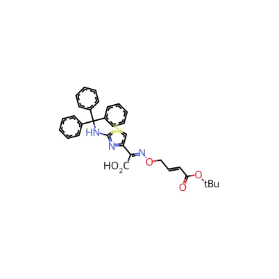 CC(C)(C)OC(=O)/C=C/CO/N=C(\C(=O)O)c1csc(NC(c2ccccc2)(c2ccccc2)c2ccccc2)n1